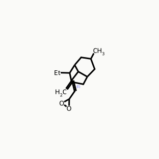 C=C1CC2CC(C)CC(C1CC)C2/C=C/C1OO1